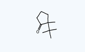 CC(C)(C)C1(C)CCCC1=O